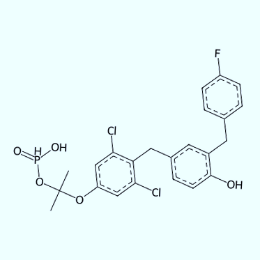 CC(C)(Oc1cc(Cl)c(Cc2ccc(O)c(Cc3ccc(F)cc3)c2)c(Cl)c1)O[PH](=O)O